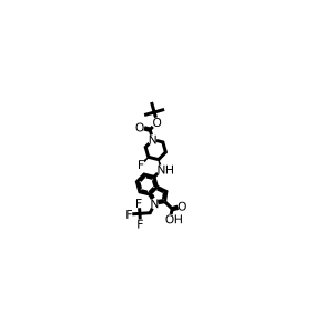 CC(C)(C)OC(=O)N1CC[C@@H](Nc2cccc3c2cc(C(=O)O)n3CC(F)(F)F)[C@@H](F)C1